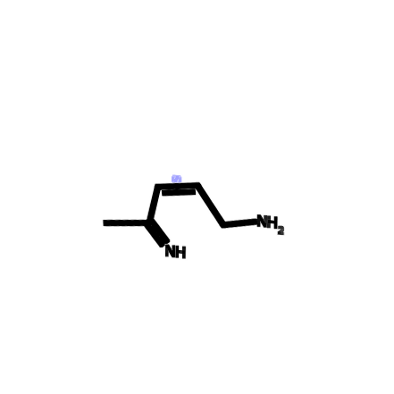 CC(=N)/C=C\CN